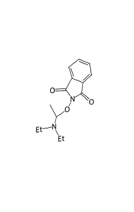 CCN(CC)C(C)ON1C(=O)c2ccccc2C1=O